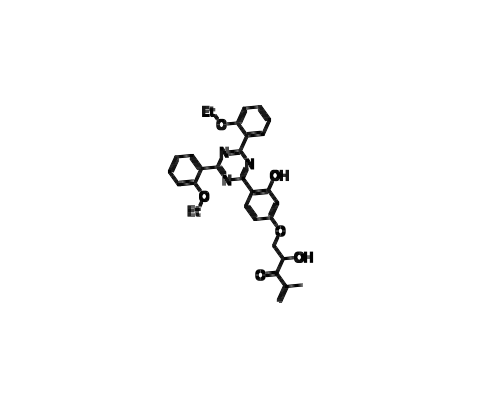 C=C(C)C(=O)C(O)COc1ccc(-c2nc(-c3ccccc3OCC)nc(-c3ccccc3OCC)n2)c(O)c1